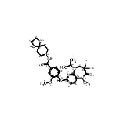 COc1cc(C(=O)NN2CCC3(CC2)OCCO3)ccc1Nc1ncc2c(n1)N(C(C)C)CC(F)(F)C(=O)N2C